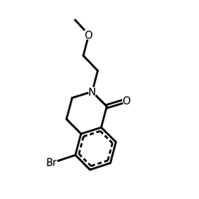 COCCN1CCc2c(Br)cccc2C1=O